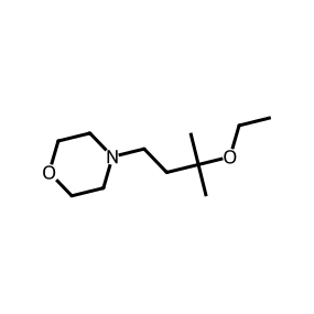 CCOC(C)(C)CCN1CCOCC1